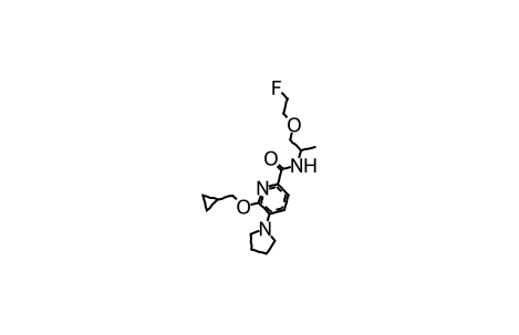 CC(COCCF)NC(=O)c1ccc(N2CCCC2)c(OCC2CC2)n1